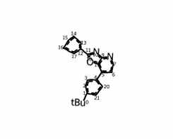 CC(C)(C)c1ccc(-c2ccnc3nc(-c4ccccc4)oc23)cc1